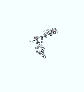 Cc1cc(C(=O)c2ccc(-c3cnn(CC45CC6(C)CC(C)(C4)CC(OCCNCCS(=O)(=O)OCC(C)(C)CCO[Si](c4ccccc4)(c4ccccc4)C(C)(C)C)(C6)C5)c3C)c(C(=O)O)n2)nnc1Nc1nc2ccccc2s1